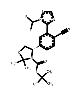 CC(C)(C)OC(=O)N1[C@@H](c2ccc(C#N)c(-c3ncnn3C(F)F)c2)COC1(C)C